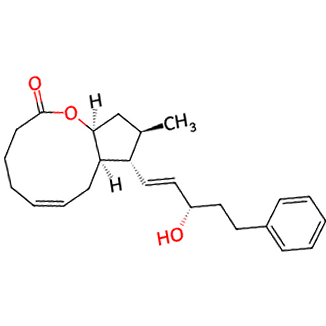 C[C@@H]1C[C@@H]2OC(=O)CCC/C=C\C[C@@H]2[C@H]1/C=C/[C@@H](O)CCc1ccccc1